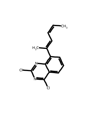 C/C=C\C=C(/C)c1cccc2c(Cl)nc(Cl)nc12